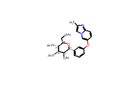 CC(=O)OC[C@H]1O[C@H](c2cccc(Oc3ccc4nc(C)cn4c3)c2)[C@@H](OC(C)=O)[C@@H](OC(C)=O)[C@@H]1OC(C)=O